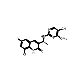 COc1nc(N[C@@H](C)c2cc3cc(F)cc(Cl)c3[nH]c2=O)ncc1C#N